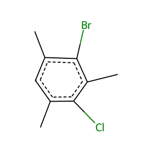 Cc1cc(C)c(Br)c(C)c1Cl